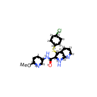 COc1ccc(NC(=O)c2[nH]c3ncccc3c2Sc2ccc(Cl)cc2)cn1